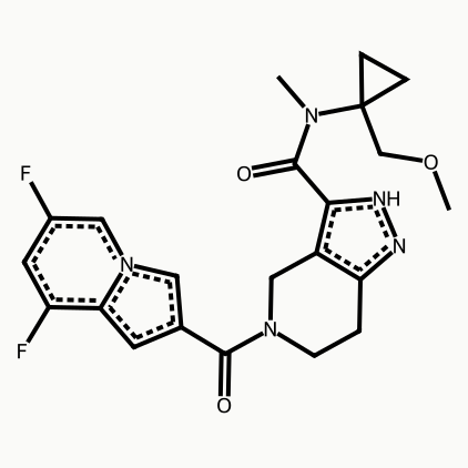 COCC1(N(C)C(=O)c2[nH]nc3c2CN(C(=O)c2cc4c(F)cc(F)cn4c2)CC3)CC1